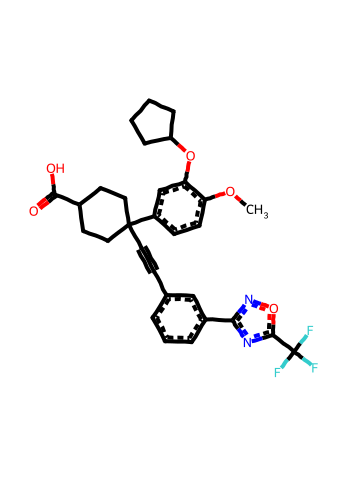 COc1ccc(C2(C#Cc3cccc(-c4noc(C(F)(F)F)n4)c3)CCC(C(=O)O)CC2)cc1OC1CCCC1